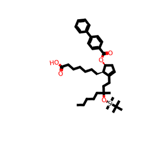 CCCCCC(C)(CCC1=CC[C@H](OC(=O)c2ccc(-c3ccccc3)cc2)[C@@H]1CCCCCCC(=O)O)O[Si](C)(C)C(C)(C)C